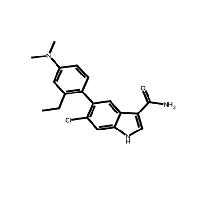 CCc1cc(N(C)C)ccc1-c1cc2c(C(N)=O)c[nH]c2cc1Cl